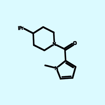 CC(C)C1CCN(C(=O)c2cccn2C)CC1